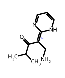 CC(C)C(=O)/C(CN)=C1\N=CC=CN1